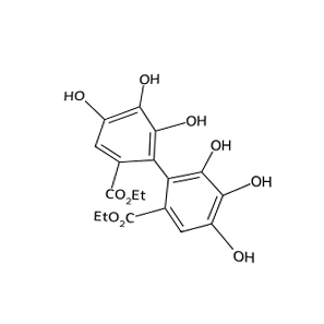 CCOC(=O)c1cc(O)c(O)c(O)c1-c1c(C(=O)OCC)cc(O)c(O)c1O